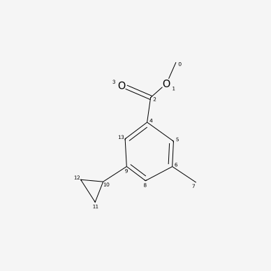 COC(=O)c1cc(C)cc(C2CC2)c1